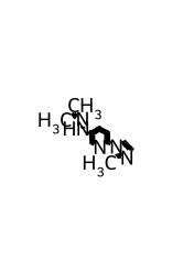 CC(C)=NNc1ccc(-n2ccnc2C)nc1